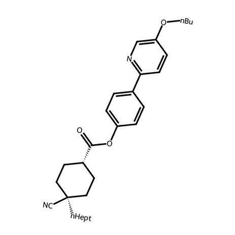 CCCCCCC[C@]1(C#N)CC[C@H](C(=O)Oc2ccc(-c3ccc(OCCCC)cn3)cc2)CC1